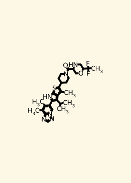 Cc1c(-c2[nH]c3sc(C4CCN(C(=O)C5COC(C(C)(F)F)CN5)CC4)c(C)c3c2C(C)C)cn2ncnc2c1C